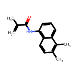 C=C(C)C(=O)Nc1cccc2c(C)c(C)ccc12